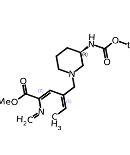 C=N/C(=C\C(=C/C)CN1CCC[C@@H](NC(=O)OC(C)(C)C)C1)C(=O)OC